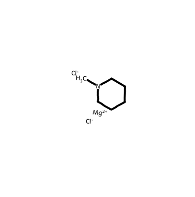 CN1CCCCC1.[Cl-].[Cl-].[Mg+2]